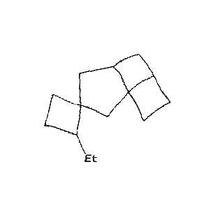 CCC1CCC12CC1CC3CCC31C2